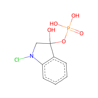 O=P(O)(O)OC1(O)CN(Cl)c2ccccc21